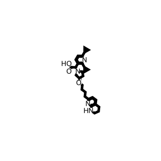 O=C(O)C(c1ccc(C2CC2)nc1C1CC1)N1CC[C@@H](OCCCCc2ccc3c(n2)NCCC3)C1